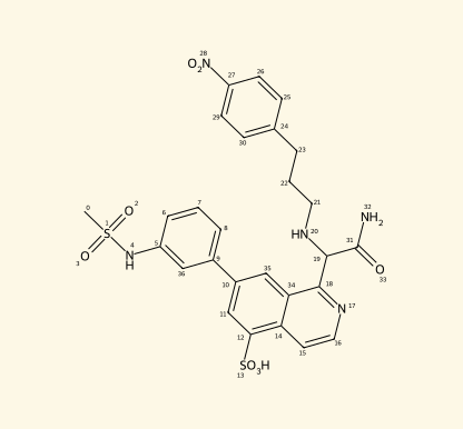 CS(=O)(=O)Nc1cccc(-c2cc(S(=O)(=O)O)c3ccnc(C(NCCCc4ccc([N+](=O)[O-])cc4)C(N)=O)c3c2)c1